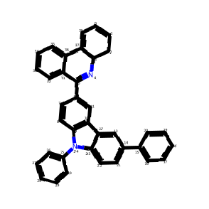 C1=CCC2N=C(c3ccc4c(c3)c3cc(-c5ccccc5)ccc3n4-c3ccccc3)c3ccccc3C2=C1